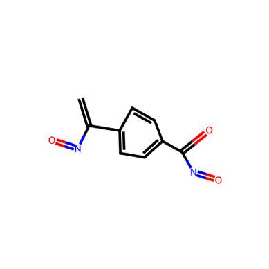 C=C(N=O)c1ccc(C(=O)N=O)cc1